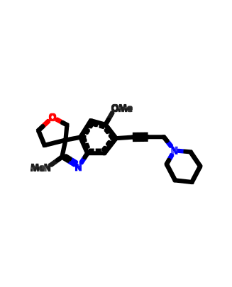 CNC1=Nc2cc(C#CCN3CCCCC3)c(OC)cc2C12CCOC2